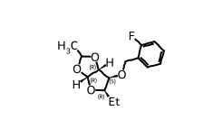 CC[C@H]1O[C@@H]2OC(C)O[C@@H]2[C@H]1OCc1ccccc1F